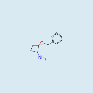 NC1CCC1OCc1ccccc1